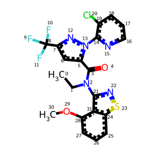 CCN(C(=O)c1cc(C(F)(F)F)nn1-c1ncccc1Cl)c1nsc2cccc(OC)c12